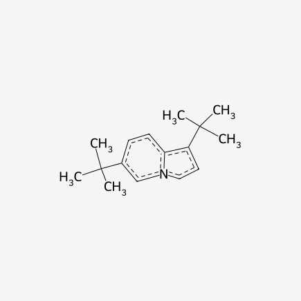 CC(C)(C)c1ccc2c(C(C)(C)C)ccn2c1